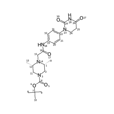 C[C@@H]1CN(C(=O)OC(C)(C)C)C[C@H](C)N1CC(=O)Nc1ccc(N2CCC(=O)NC2=O)cc1